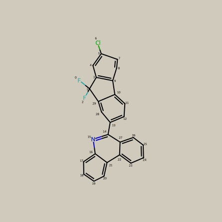 FC1(F)c2cc(Cl)ccc2-c2ccc(-c3nc4ccccc4c4ccccc34)cc21